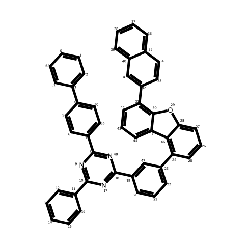 c1ccc(-c2ccc(-c3nc(-c4ccccc4)nc(-c4cccc(-c5cccc6oc7c(-c8ccc9ccccc9c8)cccc7c56)c4)n3)cc2)cc1